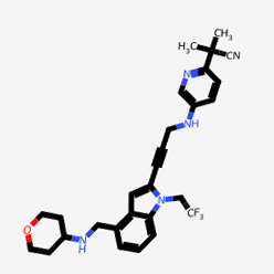 CC(C)(C#N)c1ccc(NCC#Cc2cc3c(CNC4CCOCC4)cccc3n2CC(F)(F)F)cn1